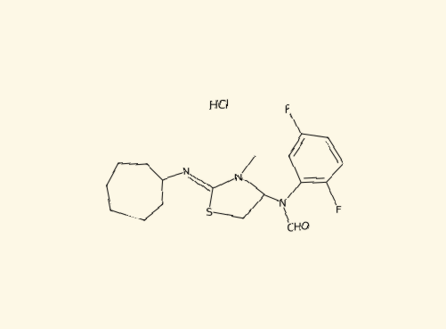 CN1C(=NC2CCCCCC2)SCC1N(C=O)c1cc(F)ccc1F.Cl